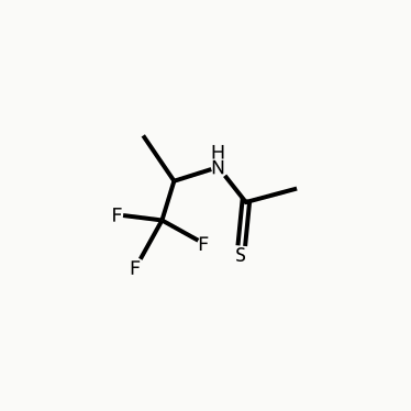 CC(=S)NC(C)C(F)(F)F